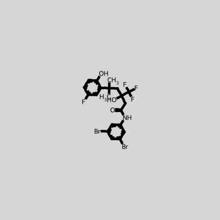 CC(C)(CC(O)(CC(=O)Nc1cc(Br)cc(Br)c1)C(F)(F)F)c1cc(F)ccc1O